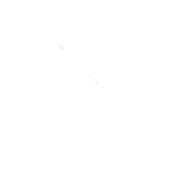 CCc1cc(Nc2cccc(S(C)(=O)=O)c2)c(C)[nH]c1=O